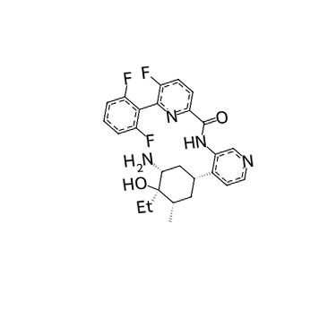 CC[C@]1(O)[C@H](N)C[C@H](c2ccncc2NC(=O)c2ccc(F)c(-c3c(F)cccc3F)n2)C[C@@H]1C